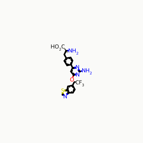 Nc1nc(OC(c2ccc3ncsc3c2)C(F)(F)F)cc(-c2ccc(C[C@H](N)C(=O)O)cc2)n1